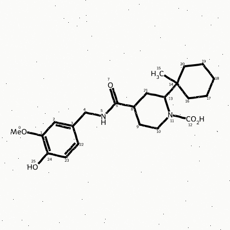 COc1cc(CNC(=O)C2CCN(C(=O)O)C(C3(C)CCCCC3)C2)ccc1O